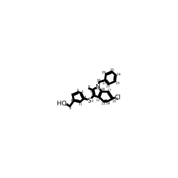 Cc1c(Sc2cccc(CO)c2)c2ccc(Cl)cc2n1Cc1ccccc1